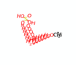 O.O.O.O.O.O.O.O.O.O.O.O.O=S(=O)(O)O.[Co].[Ni]